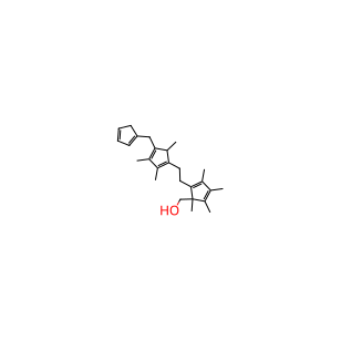 CC1=C(CCC2=C(C)C(C)=C(C)C2(C)CO)C(C)C(CC2=CC=CC2)=C1C